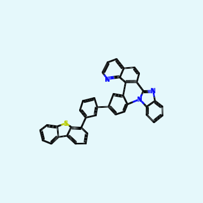 c1cc(-c2ccc3c(c2)c2c(ccc4cccnc42)c2nc4ccccc4n32)cc(-c2cccc3c2sc2ccccc23)c1